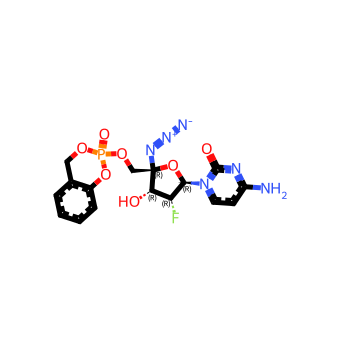 [N-]=[N+]=N[C@]1(COP2(=O)OCc3ccccc3O2)O[C@@H](n2ccc(N)nc2=O)[C@H](F)[C@@H]1O